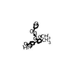 COc1c(C)ccc(-c2ccc3c(c2)CNC3=O)c1OCCOC(=O)C1CCOCC1